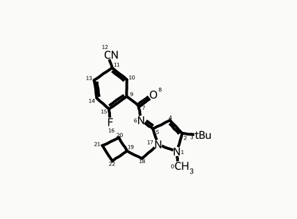 Cn1c(C(C)(C)C)cc(=NC(=O)c2cc(C#N)ccc2F)n1CC1CCC1